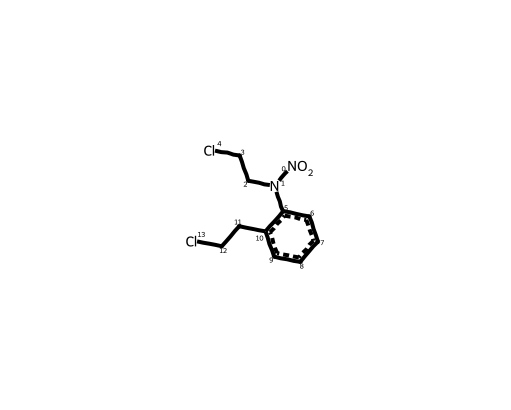 O=[N+]([O-])N(CCCl)c1ccccc1CCCl